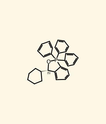 c1ccc(P2(c3ccccc3)(c3ccccc3)O[C@@H](C3CCCCC3)c3ccccc32)cc1